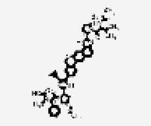 COC[C@H]1C[C@@H](c2nc(C3CC3)c(-c3ccc4c(c3)COc3cc5c(ccc6nc([C@@H]7CC[C@H](C)N7C(=O)[C@@H](NC(=O)OC)C(C)C)[nH]c65)cc3-4)[nH]2)N(C(=O)[C@@H](c2ccccc2)N(C)C(=O)O)C1